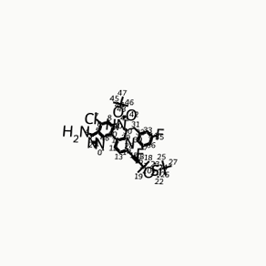 Cn1nc(N)c2c(Cl)ccc(-c3ccc(C#CC(C)(C)O[Si](C)(C)C(C)(C)C)nc3[C@H](Cc3cc(F)cc(F)c3)NC(=O)OC(C)(C)C)c21